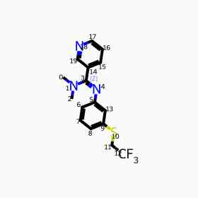 CN(C)/C(=N\c1cccc(SCC(F)(F)F)c1)c1cccnc1